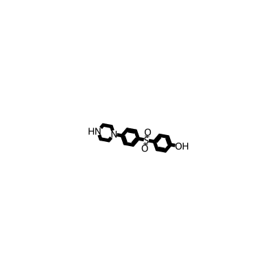 O=S(=O)(c1ccc(O)cc1)c1ccc(N2CCNCC2)cc1